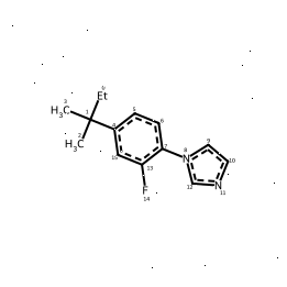 CCC(C)(C)c1ccc(-n2ccnc2)c(F)c1